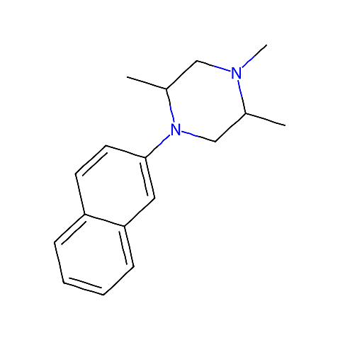 CC1CN(c2ccc3ccccc3c2)C(C)CN1C